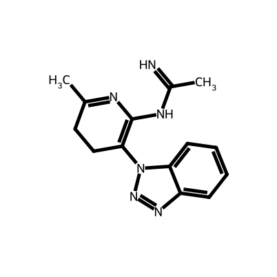 CC(=N)NC1=C(n2nnc3ccccc32)CCC(C)=N1